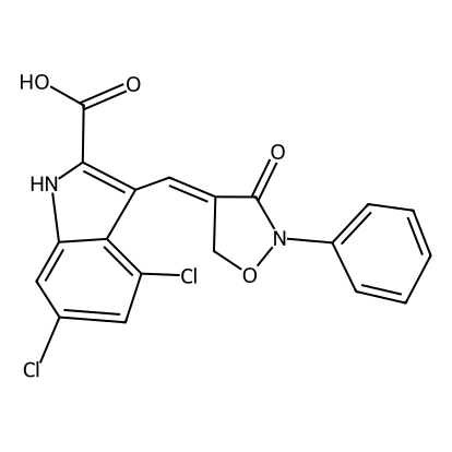 O=C(O)c1[nH]c2cc(Cl)cc(Cl)c2c1C=C1CON(c2ccccc2)C1=O